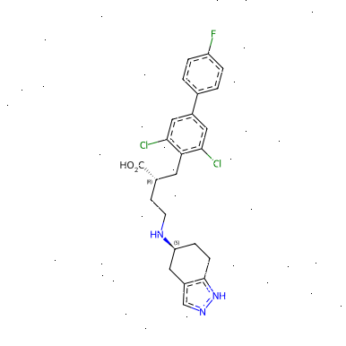 O=C(O)[C@@H](CCN[C@H]1CCc2[nH]ncc2C1)Cc1c(Cl)cc(-c2ccc(F)cc2)cc1Cl